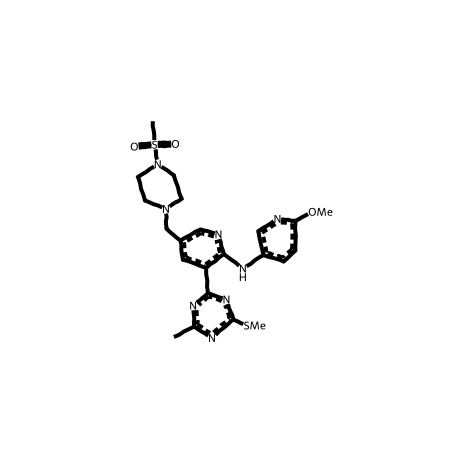 COc1ccc(Nc2ncc(CN3CCN(S(C)(=O)=O)CC3)cc2-c2nc(C)nc(SC)n2)cn1